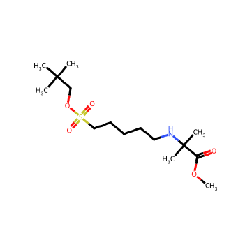 COC(=O)C(C)(C)NCCCCCS(=O)(=O)OCC(C)(C)C